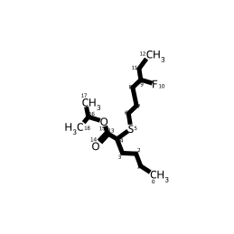 CCCCC(SCCCC(F)CC)C(=O)OC(C)C